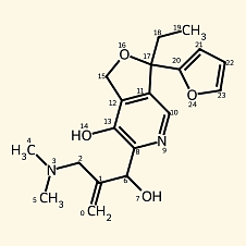 C=C(CN(C)C)C(O)c1ncc2c(c1O)COC2(CC)c1ccco1